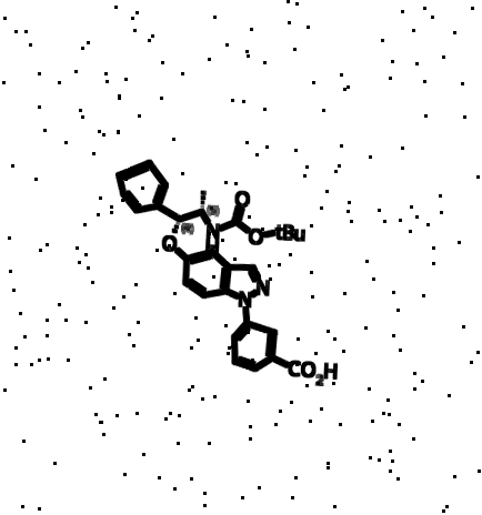 C[C@H](NC(=O)OC(C)(C)C)[C@H](Oc1ccc2c(cnn2-c2cccc(C(=O)O)c2)c1)c1ccccc1